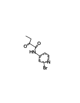 CCC(=O)C(=O)Nc1ccnc(Br)c1